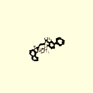 CN1C(=Cc2sc3ccc4ccccc4c3[n+]2C)Oc2ccc(-c3ccccc3)cc21